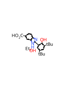 CC(C)(C)c1cc(-c2nc3ccc(C(=O)O)cc3[nH]2)c(O)c(C(C)(C)C)c1.CCO